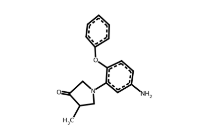 CC1CN(c2cc(N)ccc2Oc2ccccc2)CC1=O